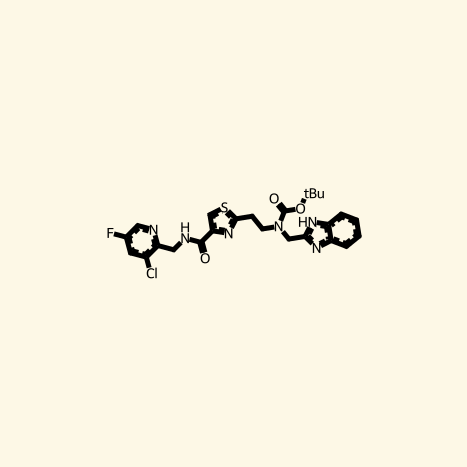 CC(C)(C)OC(=O)N(CCc1nc(C(=O)NCc2ncc(F)cc2Cl)cs1)Cc1nc2ccccc2[nH]1